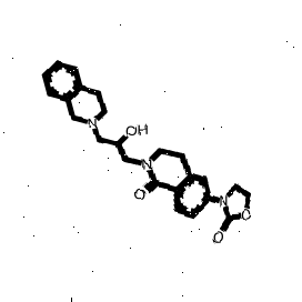 O=C1c2ccc(N3CCOC3=O)cc2CCN1CC(O)CN1CCc2ccccc2C1